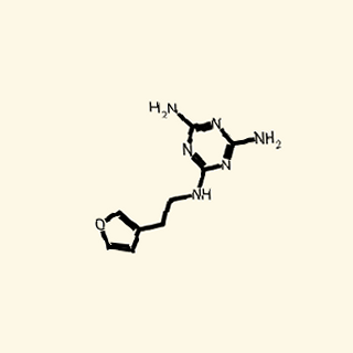 Nc1nc(N)nc(NCCc2ccoc2)n1